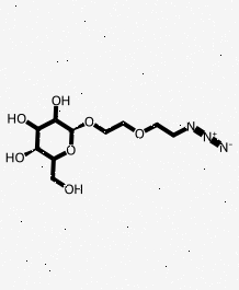 [N-]=[N+]=NCCOCCO[C@H]1OC(CO)[C@@H](O)C(O)C1O